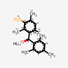 Cc1cc(C)c(C(=O)c2c(C)cc(C)c(P)c2C)c(C)c1.[LiH]